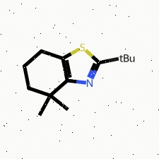 CC(C)(C)c1nc2c(s1)CCCC2(C)C